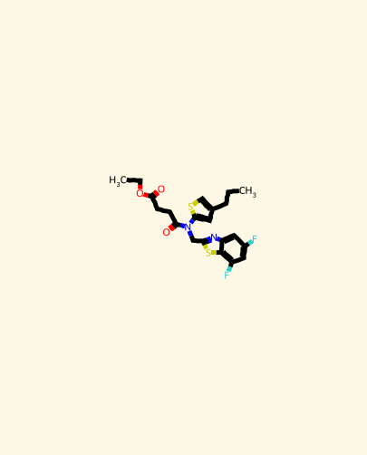 CCCc1csc(N(Cc2nc3cc(F)cc(F)c3s2)C(=O)CCC(=O)OCC)c1